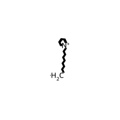 [CH2]CCCCCCCCC[n+]1ccccc1